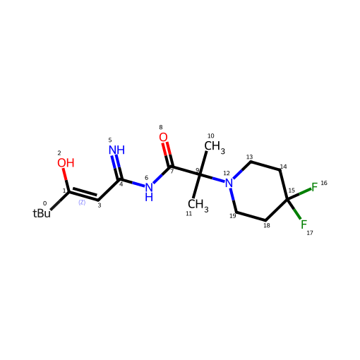 CC(C)(C)/C(O)=C/C(=N)NC(=O)C(C)(C)N1CCC(F)(F)CC1